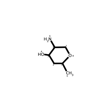 CC1CC(O)C(N)CO1